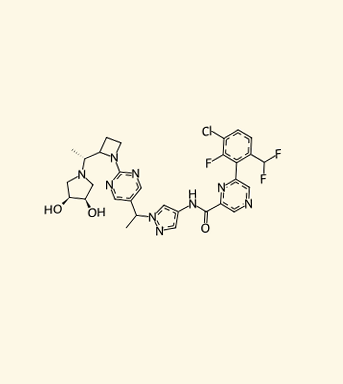 CC(c1cnc(N2CCC2[C@@H](C)N2C[C@@H](O)[C@@H](O)C2)nc1)n1cc(NC(=O)c2cncc(-c3c(C(F)F)ccc(Cl)c3F)n2)cn1